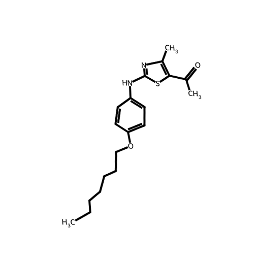 CCCCCCCOc1ccc(Nc2nc(C)c(C(C)=O)s2)cc1